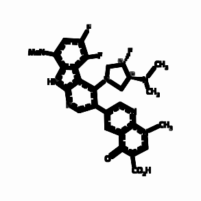 CNc1cc(F)c(F)c2c1[nH]c1ncc(-c3cnc4c(c3)c(=O)c(C(=O)O)cn4C)c(N3C[C@H](F)[C@@H](N(C)C)C3)c12